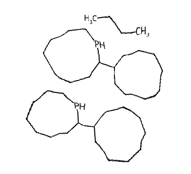 C1CCCCC(C2CCCCCCCP2)CCC1.C1CCCCC(C2CCCCCCCP2)CCC1.CCCC